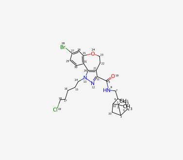 CC1(C)C2CCC(CNC(=O)c3nn(CCCCCCl)c4c3CCOc3cc(Br)ccc3-4)C1C2